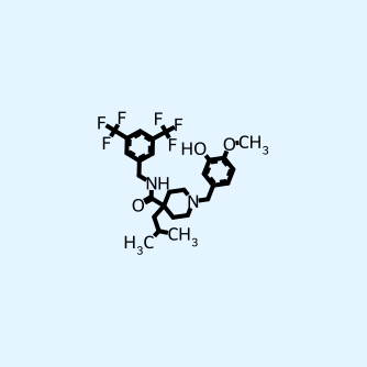 COc1ccc(CN2CCC(CC(C)C)(C(=O)NCc3cc(C(F)(F)F)cc(C(F)(F)F)c3)CC2)cc1O